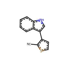 N#Cc1sccc1-c1c[nH]c2ccccc12